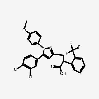 COc1ccc(-n2nc(CC(C(=O)O)c3ccccc3C(F)(F)F)cc2-c2ccc(Cl)c(Cl)c2)cc1